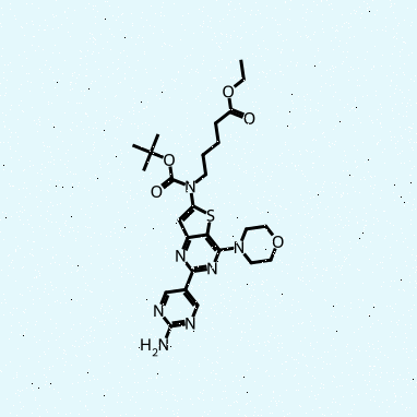 CCOC(=O)CCCCN(C(=O)OC(C)(C)C)c1cc2nc(-c3cnc(N)nc3)nc(N3CCOCC3)c2s1